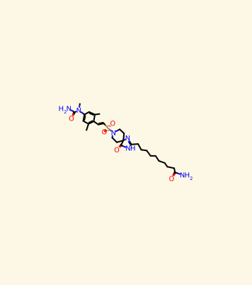 Cc1cc(N(C)C(N)=O)cc(C)c1/C=C/S(=O)(=O)N1CCC2(CC1)N=C(CCCCCCCCCC(N)=O)NC2=O